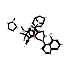 CN1CCC[C@H]1COc1nc(N2C3CCC2CN(C(=O)OC(C)(C)C)C3)c2c(c1C#N)CN(c1cccc3cccc(Br)c13)CC2